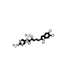 CO/C(=C\C=C\c1cc2cc(Cl)c(Cl)cc2[nH]1)C(=O)Nc1cnc(N)nc1